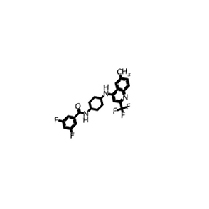 Cc1ccc2nc(C(F)(F)F)cc(NC3CCC(NC(=O)c4cc(F)cc(F)c4)CC3)c2c1